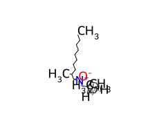 CCCCCCCCCC(C)C=[N+]([O-])CC1=CC[C@H]2C[C@@H]1C2(C)C